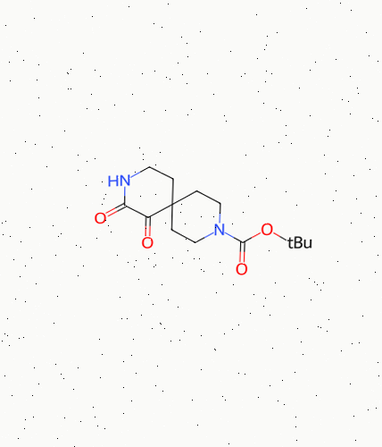 CC(C)(C)OC(=O)N1CCC2(CCNC(=O)C2=O)CC1